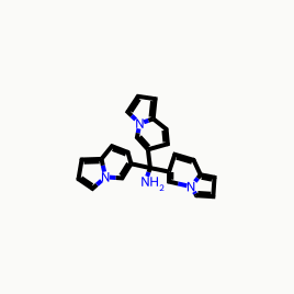 NC(c1ccc2cccn2c1)(c1ccc2cccn2c1)c1ccc2cccn2c1